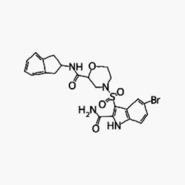 NC(=O)c1[nH]c2ccc(Br)cc2c1S(=O)(=O)N1CCOC(C(=O)NC2Cc3ccccc3C2)C1